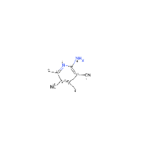 Cc1nc(N)c(C#N)c(C)c1C#N